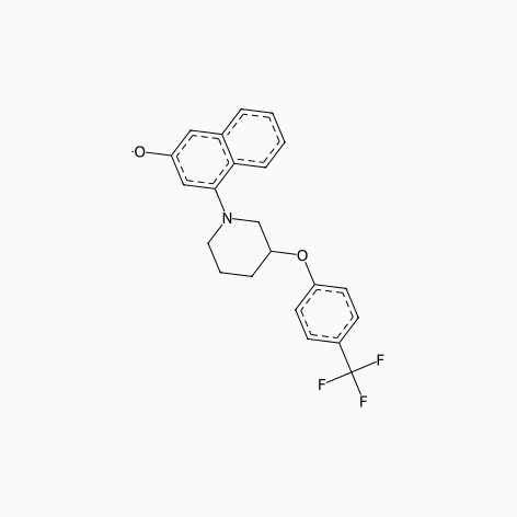 [O]c1cc(N2CCCC(Oc3ccc(C(F)(F)F)cc3)C2)c2ccccc2c1